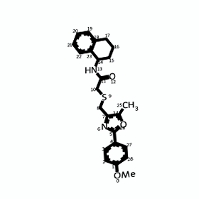 COc1ccc(-c2nc(CSCC(=O)NC3CCCc4ccccc43)c(C)o2)cc1